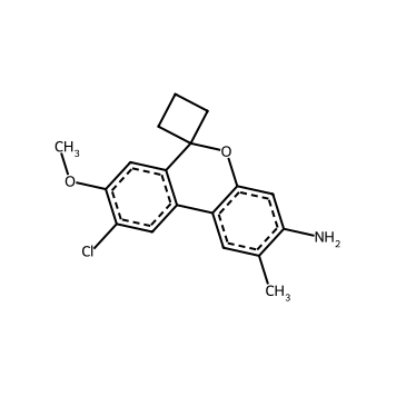 COc1cc2c(cc1Cl)-c1cc(C)c(N)cc1OC21CCC1